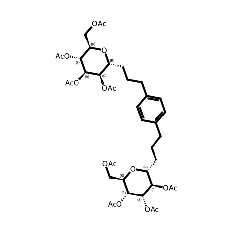 CC(=O)OC[C@H]1O[C@H](CCCc2ccc(CCC[C@H]3O[C@H](COC(C)=O)[C@@H](OC(C)=O)[C@@H](OC(C)=O)[C@@H]3OC(C)=O)cc2)[C@@H](OC(C)=O)[C@@H](OC(C)=O)[C@@H]1OC(C)=O